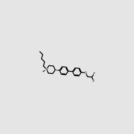 CCCCC[Si@]1(C)CC[C@@H](c2ccc(-c3ccc(OCC(F)F)cc3)cc2)CC1